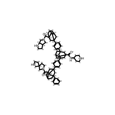 O=C(NC1CCNCC1)C12CC3CC(c4ccc(C56CC7CC(CC(C(=O)N8CC9CCNC9C8)(C7)C5)C6)cc4)(C1)CC(c1ccc(C45CC6CC(C(=O)N7CCC8(CCNC8)C7)(CC(c7ccccc7)(C6)C4)C5)cc1)(C3)C2